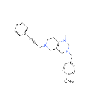 COc1ccc(CN2CC3=C(CCN(CC#Cc4ccccc4)C3)N(C)C2)cc1